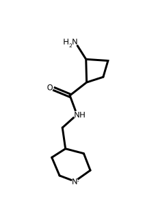 NC1CCC1C(=O)NCC1CC[N]CC1